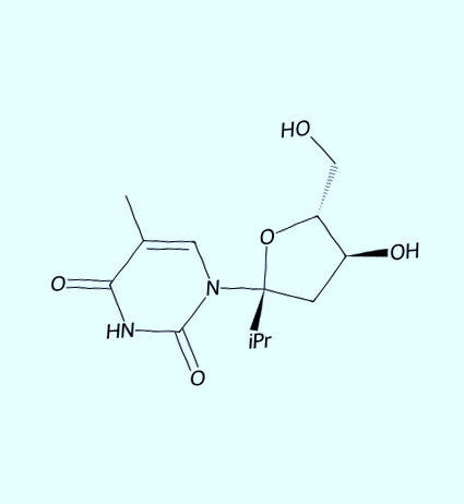 Cc1cn([C@@]2(C(C)C)C[C@H](O)[C@@H](CO)O2)c(=O)[nH]c1=O